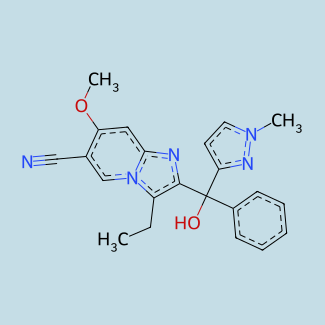 CCc1c(C(O)(c2ccccc2)c2ccn(C)n2)nc2cc(OC)c(C#N)cn12